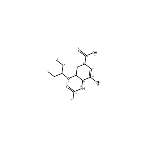 CCC(CC)OC1CC(C(=O)O)C=C(O)C1NC(C)=O